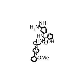 COc1ccccc1N1CCN(C(=O)CNC(=O)C(Nc2cccc(C(=N)N)c2)c2ccccc2O)CC1